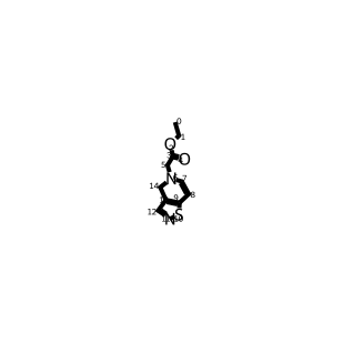 CCOC(=O)CN1C=Cc2sncc2C1